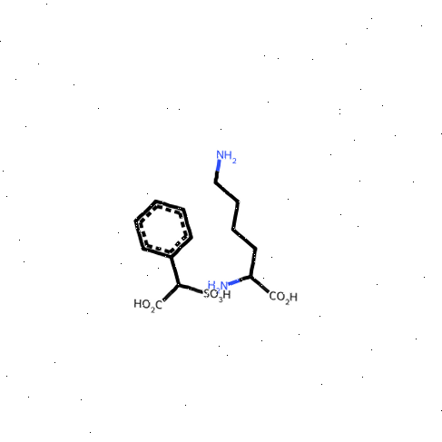 NCCCCC(N)C(=O)O.O=C(O)C(c1ccccc1)S(=O)(=O)O